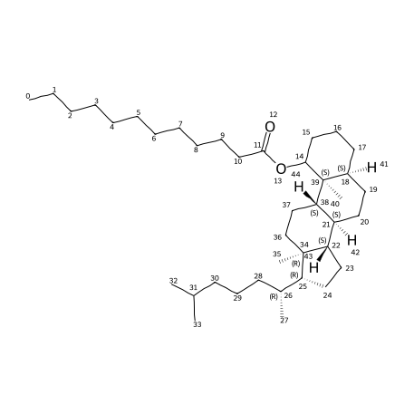 CCCCCCCCCCCC(=O)OC1CCC[C@H]2CC[C@H]3[C@@H]4CC[C@H]([C@H](C)CCCC(C)C)[C@@]4(C)CC[C@@H]3[C@@]12C